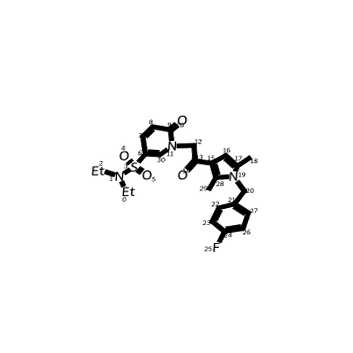 CCN(CC)S(=O)(=O)c1ccc(=O)n(CC(=O)c2cc(C)n(Cc3ccc(F)cc3)c2C)c1